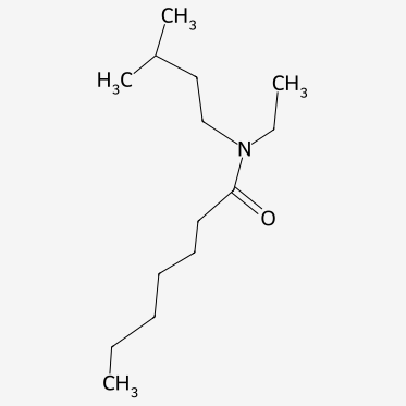 CCCCCCC(=O)N(CC)CCC(C)C